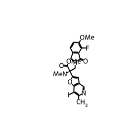 CN[C@](CN1Cc2ccc(OC)c(F)c2C1=O)(C(=O)OC)c1cc2cnc(C)c(I)c2o1